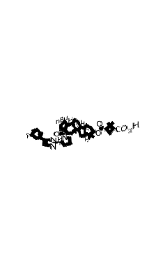 CCCC[C@@H]1CC[C@]2(C(=O)N3CCC[C@H]3c3ncc(-c4cccc(F)c4)[nH]3)CC[C@]3(C)[C@H](CC[C@@H]4[C@@]5(C)CC[C@H](OC(=O)[C@H]6C[C@@H](C(=O)O)C6(C)C)C(C)(C)[C@@H]5CC[C@]43C)[C@@H]12